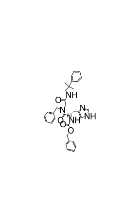 CC(C)(CNC(=O)CN(Cc1ccccc1)C(=O)[C@H](Cc1c[nH]cn1)NC(=O)OCc1ccccc1)c1ccccc1